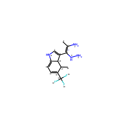 C/C(N)=C(/NN)C1=CNC2=CC=C(C(F)(F)F)C(C)C21